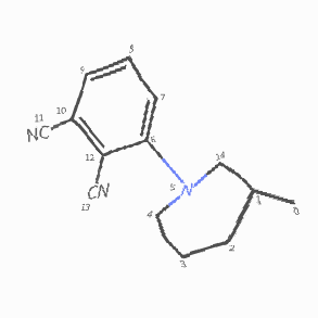 CC1CCCN(c2cccc(C#N)c2C#N)C1